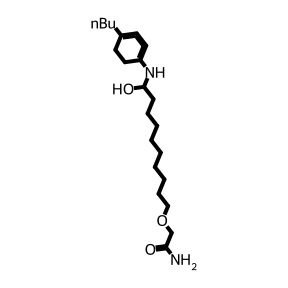 CCCCC1=C=C=C(NC(O)CCCCCCCCCOCC(N)=O)CC1